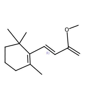 C=C(/C=C/C1=C(C)CCCC1(C)C)OC